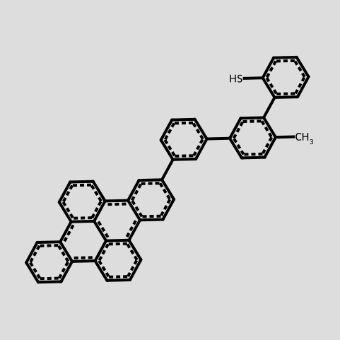 Cc1ccc(-c2cccc(-c3ccc4c(c3)c3cccc5c6ccccc6c6cccc4c6c53)c2)cc1-c1ccccc1S